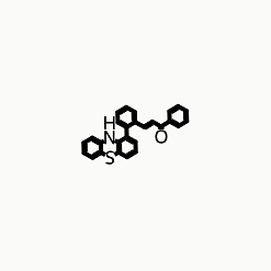 O=C(C=Cc1ccccc1-c1cccc2c1Nc1ccccc1S2)c1ccccc1